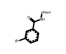 CCCCCNC(=O)c1cccc(C(C)C)c1